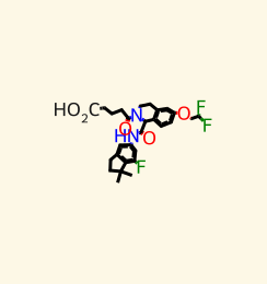 CC1(C)CCc2cc(NC(=O)C3c4ccc(OCC(F)F)cc4CCN3C(=O)CCCC(=O)O)cc(F)c21